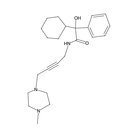 CN1CCN(CC#CCNC(=O)C(O)(c2ccccc2)C2CCCCC2)CC1